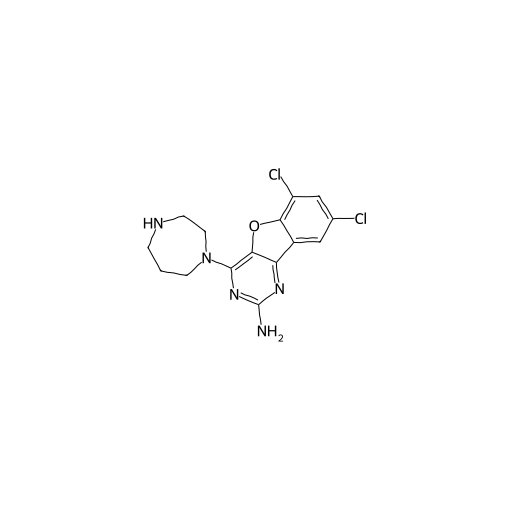 Nc1nc(N2CCCNCC2)c2oc3c(Cl)cc(Cl)cc3c2n1